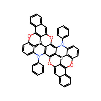 C[Si]12c3c4cccc3N(c3ccccc3)c3c5c6c(c(c31)Oc1cc3ccccc3c(c12)O4)N(c1ccccc1)c1cccc2c1[Si]6(C)c1c(cc3ccccc3c1O2)O5